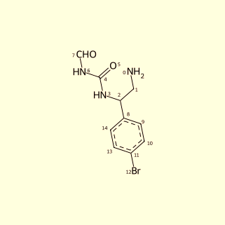 NCC(NC(=O)NC=O)c1ccc(Br)cc1